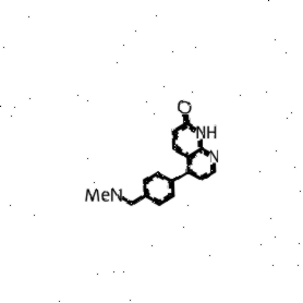 CNCc1ccc(-c2ccnc3[nH]c(=O)ccc23)cc1